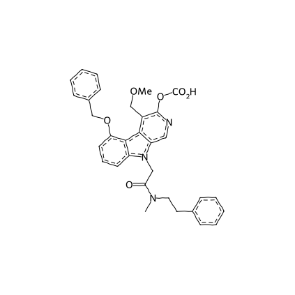 COCc1c(OC(=O)O)ncc2c1c1c(OCc3ccccc3)cccc1n2CC(=O)N(C)CCc1ccccc1